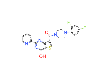 O=C(c1csc2c(O)nc(-c3ccccn3)nc12)N1CCN(c2ccc(F)cc2F)CC1